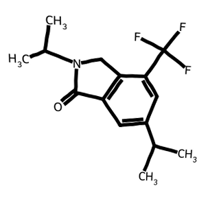 CC(C)c1cc2c(c(C(F)(F)F)c1)CN(C(C)C)C2=O